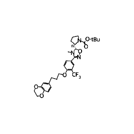 CN1C(c2ccc(OCCCc3ccc4c(c3)OCCO4)c(C(F)(F)F)c2)=NOC1[C@@H]1CCCN1C(=O)OC(C)(C)C